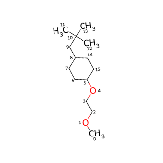 COCCOC1CCC(CC(C)(C)C)CC1